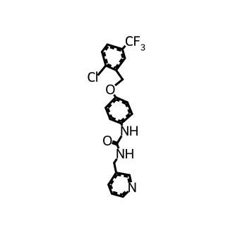 O=C(NCc1cccnc1)Nc1ccc(OCc2cc(C(F)(F)F)ccc2Cl)cc1